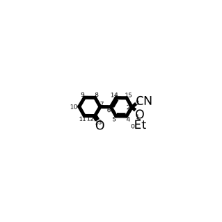 CCOC1(C#N)C=CC(C2CCCCC2=O)=CC1